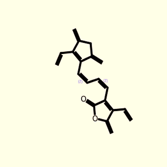 C=CC1=C(/C=C\C=C/C2=C(C=C)C(=C)OC2=O)C(=C)CC1=C